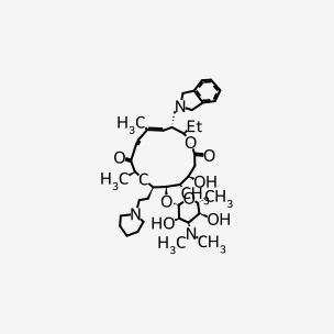 CC[C@H]1OC(=O)C[C@@H](O)[C@H](C)[C@@H](O[C@@H]2O[C@H](C)[C@@H](O)[C@H](N(C)C)[C@H]2O)[C@@H](CCN2CCCCC2)C[C@@H](C)C(=O)/C=C/C(C)=C/[C@@H]1CN1Cc2ccccc2C1